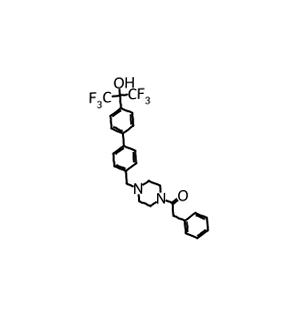 O=C(Cc1ccccc1)N1CCN(Cc2ccc(-c3ccc(C(O)(C(F)(F)F)C(F)(F)F)cc3)cc2)CC1